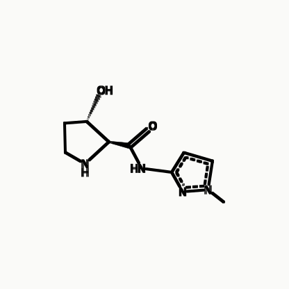 Cn1ccc(NC(=O)[C@H]2NCC[C@@H]2O)n1